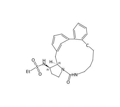 CCS(=O)(=O)N[C@@H]1CCN2C(=O)NCCCCCc3ccccc3-c3cccc(c3)C[C@H]12